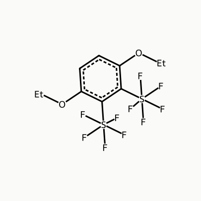 CCOc1ccc(OCC)c(S(F)(F)(F)(F)F)c1S(F)(F)(F)(F)F